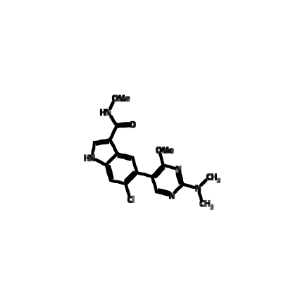 CONC(=O)c1c[nH]c2cc(Cl)c(-c3cnc(N(C)C)nc3OC)cc12